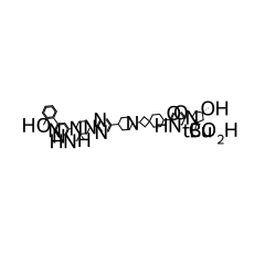 CC(C)(C)[C@H](NC(=O)C1CCC2(CC1)CC(N1CCC(c3cnc(N4CCN5c6cc(-c7ccccc7O)nnc6NC[C@H]5C4)nc3)CC1)C2)C(=O)N1C[C@H](O)C[C@H]1C(=O)O